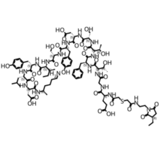 CC[C@@H]1CC(=O)N(CCNC(=O)CSCC(=O)N[C@@H](CCC(=O)O)C(=O)NCC(=O)N[C@H](C(=O)N[C@@H](Cc2ccccc2)C(=O)N[C@H](C(=O)N[C@@H](CO)C(=O)N[C@@H](CC(=O)O)C(=O)N[C@@H](Cc2ccc(O)cc2)C(=O)N[C@@H](CO)C(=O)N[C@H](C(=O)N[C@@H](Cc2ccc(O)cc2)C(=O)N[C@@H](CC(C)C)C(=O)N[C@@H](CC(=O)O)C(=O)N[C@H](C)CCCCN)[C@@H](C)CC)[C@@H](C)O)[C@@H](C)O)C1=O